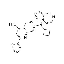 Cc1cc(-c2cccs2)nc2cc(N(C3CCC3)[N+]34C=CN=CC3=CN=C4)ccc12